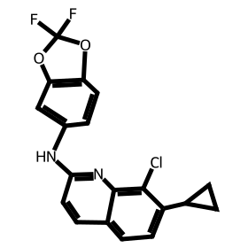 FC1(F)Oc2ccc(Nc3ccc4ccc(C5CC5)c(Cl)c4n3)cc2O1